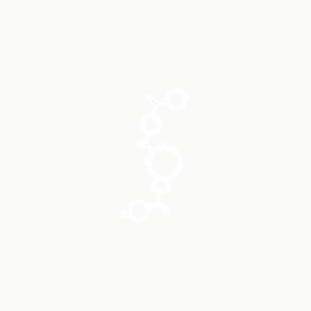 O=C(c1ccc(NC2=N/Cc3cc(C(=O)N4CCNCC4)sc3/C=C\C/C=N\2)cc1)N1CCOCC1